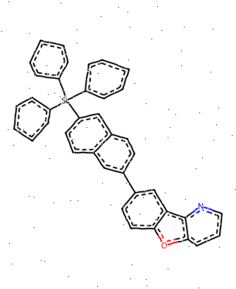 c1ccc([Si](c2ccccc2)(c2ccccc2)c2ccc3cc(-c4ccc5oc6cccnc6c5c4)ccc3c2)cc1